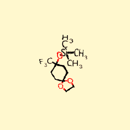 C[Si](C)(C)OC1(C(F)(F)F)CCC2(CC1)OCCO2